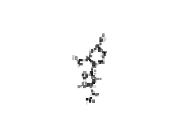 COc1cc(Br)ccc1-n1cc(C=O)nn1